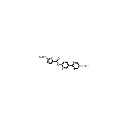 CCCCCCCCc1cnc(-c2ccc(OC(=O)c3ccc(CCCCCCCC)s3)c(F)c2)nc1